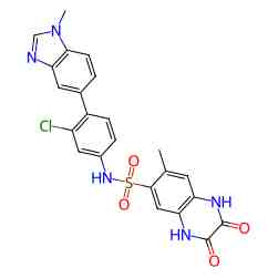 Cc1cc2[nH]c(=O)c(=O)[nH]c2cc1S(=O)(=O)Nc1ccc(-c2ccc3c(c2)ncn3C)c(Cl)c1